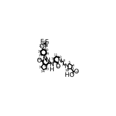 O=C(O)C1CCN(CCn2cccc(Nc3nn(-c4ccc(OC(F)(F)F)cc4)c(=O)c4c3CCC4)c2=O)C1